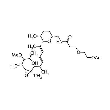 CO[C@H]([C@@H](C)[C@H]1O[C@]1(C)C[C@H](C)/C=C/C=C(\C)[C@H]1O[C@@H](CNC(=O)CCOCCOC(C)=O)CC[C@@H]1C)[C@@H](C)O